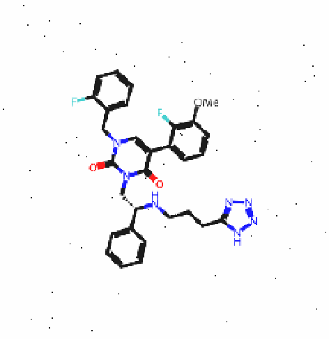 COc1cccc(-c2cn(Cc3ccccc3F)c(=O)n(C[C@H](NCCCc3nnn[nH]3)c3ccccc3)c2=O)c1F